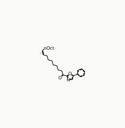 CCCCCCCC/C=C\CCCCCCCC(=O)c1ncc(-c2ccccc2)o1